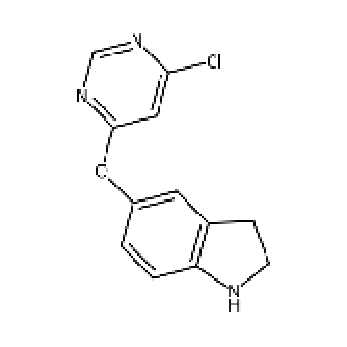 Clc1cc(Oc2ccc3c(c2)CCN3)ncn1